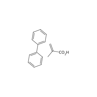 C=C(C)C(=O)O.c1ccc(-c2ccccc2)cc1